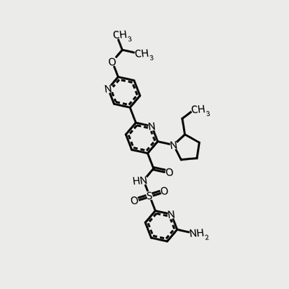 CCC1CCCN1c1nc(-c2ccc(OC(C)C)nc2)ccc1C(=O)NS(=O)(=O)c1cccc(N)n1